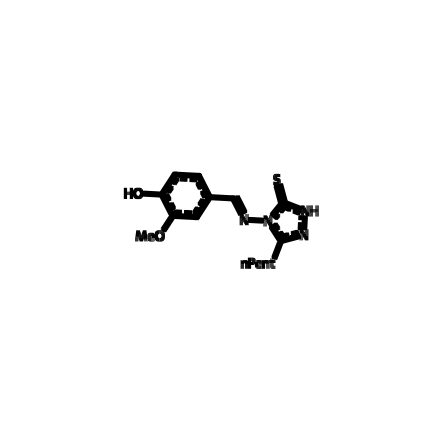 CCCCCc1n[nH]c(=S)n1N=Cc1ccc(O)c(OC)c1